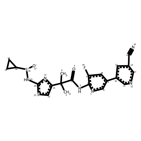 CC(C)(C(=O)Nc1ncc(-c2cncc(C#N)c2)cc1F)c1csc(N[S+]([O-])C2CC2)n1